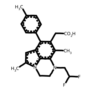 Cc1ccc(-c2c(CC(=O)O)c(C)c3c4c2cc(C)n4CCN3CC(F)F)cc1